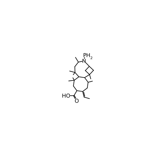 C/C=C1\CC(C)C2C(C(C)(C)CC1C(=O)O)C(C)(C)CC(C)N(P)C1CC2(C)C1